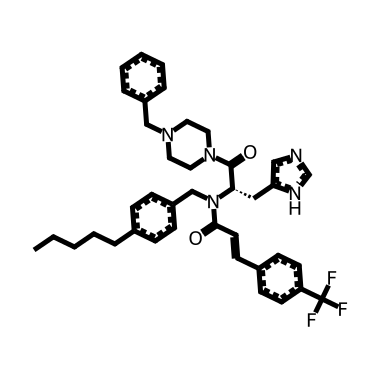 CCCCCc1ccc(CN(C(=O)/C=C/c2ccc(C(F)(F)F)cc2)[C@@H](Cc2cnc[nH]2)C(=O)N2CCN(Cc3ccccc3)CC2)cc1